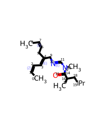 C/C=C\C=C(/C/C=C\C)C/N=C/N(C)C(=O)C(C)CC(C)C